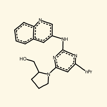 CCCc1cc(N2CCCC2CO)nc(Nc2cnc3ccccc3c2)n1